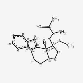 CC[C@]1(CC(N)C(N)=O)CCN2CCc3c([nH]c4ccccc34)[C@@H]21